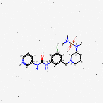 CN(C)S(=O)(=O)N(C)[C@H]1CCCN(Cc2cc(F)cc(NC(=O)Nc3cccnc3)c2)C1